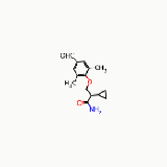 Cc1cc(C=O)cc(C)c1OCC(C(N)=O)C1CC1